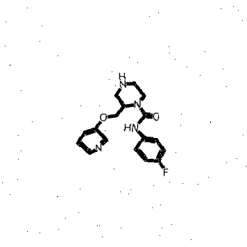 O=C(Nc1ccc(F)cc1)N1CCNCC1COc1cccnc1